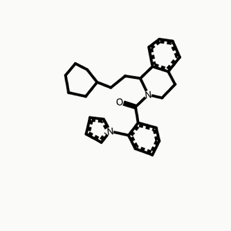 O=C(c1ccccc1-n1cccc1)N1CCc2ccccc2C1CCC1CCCCC1